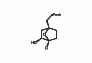 CCCCCC[C@@]12CC[C@@H](O1)[C@@H](O)C2